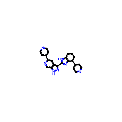 c1cc(-c2ccncc2)c2nc(-c3n[nH]c4cnc(-c5ccncc5)cc34)[nH]c2c1